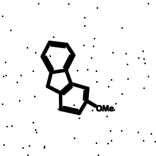 COc1c[c]c2c(c1)-c1ccccc1C2